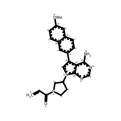 C=CC(=O)N1CCC(n2cc(-c3ccc4cc(OC)ccc4c3)c3c(N)ncnc32)C1